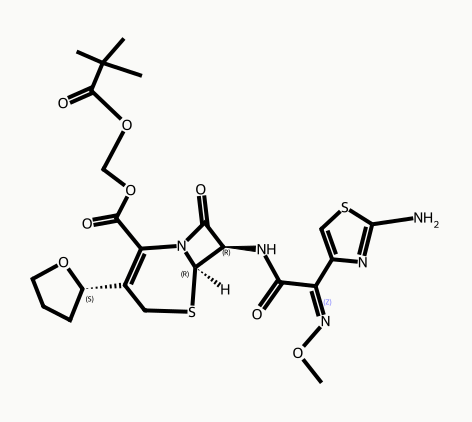 CO/N=C(\C(=O)N[C@@H]1C(=O)N2C(C(=O)OCOC(=O)C(C)(C)C)=C([C@@H]3CCCO3)CS[C@H]12)c1csc(N)n1